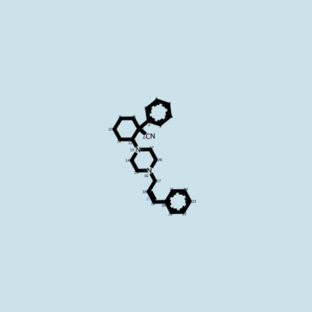 N#CC1(c2ccccc2)CCCCC1N1CCN(C/C=C\c2ccccc2)CC1